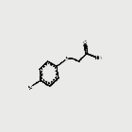 [NH]C(=O)CSc1ccc(Br)cc1